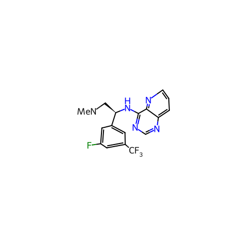 CNC[C@@H](Nc1ncnc2cccnc12)c1cc(F)cc(C(F)(F)F)c1